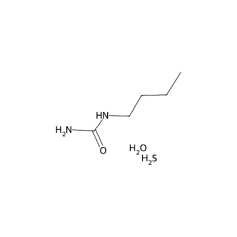 CCCCNC(N)=O.O.S